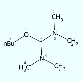 CCCCOC(N(C)C)N(C)C